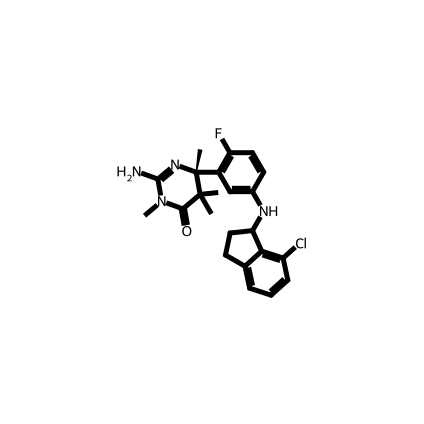 CN1C(=O)C(C)(C)[C@@](C)(c2cc(NC3CCc4cccc(Cl)c43)ccc2F)N=C1N